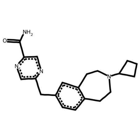 NC(=O)c1cnc(Cc2ccc3c(c2)CCN(C2CCC2)CC3)cn1